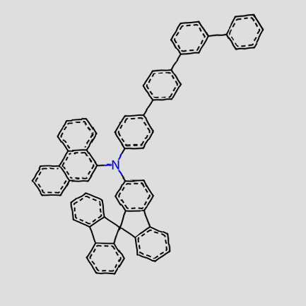 c1ccc(-c2cccc(-c3ccc(-c4ccc(N(c5ccc6c(c5)C5(c7ccccc7-c7ccccc75)c5ccccc5-6)c5cc6ccccc6c6ccccc56)cc4)cc3)c2)cc1